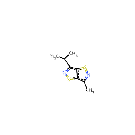 Cc1nsc2c(C(C)C)nsc12